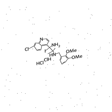 COc1cccc(CNC(C)(C)C(N)(I)c2ccnc3cc(Cl)ccc23)c1OC.Cl.Cl